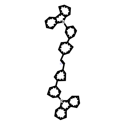 C(=C\c1ccc(-c2cccc(-n3c4ccccc4c4ccccc43)c2)cc1)/c1ccc(-c2cccc(-n3c4ccccc4c4ccccc43)c2)cc1